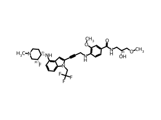 COC[C@H](O)CNC(=O)c1ccc(NCC#Cc2cc3c(N[C@H]4CCN(C)C[C@H]4F)cccc3n2CC(F)(F)F)c(OC)c1